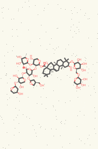 C[C@@H]1O[C@@H](O[C@@H]2[C@@H](O[C@@H]3O[C@@H](C)[C@H](O[C@@H]4OC[C@H](O)[C@H](O[C@H]5C[C@@H](O)CCO5)[C@H]4O)[C@@H](O[C@H]4C[C@@H](CO)CO4)[C@H]3O)[C@H](OC(=O)[C@]34CCC(C)(C)C[C@H]3C3=CCC5[C@@]6(C)C[C@H](O)[C@H](O[C@@H]7O[C@H](CO[C@@H]8OC[C@H](O)[C@H](O)[C@H]8O)[C@@H](O)[C@H](O)[C@H]7O)C(C)(C)C6CC[C@@]5(C)[C@]3(C)C[C@H]4O)OC[C@H]2O)[C@H](O)[C@H](O)[C@H]1O